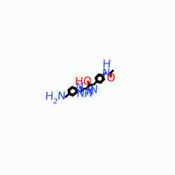 CC(=O)Nc1ccc(-c2nn(C)c(-c3nc4ccc(CN)cc4[nH]3)c2O)cc1